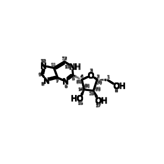 OC[C@H]1O[C@@H](c2nc3ncnc-3c[nH]2)[C@H](O)[C@@H]1O